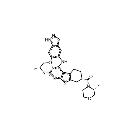 C[C@@H]1COCCN1C(=O)[C@H]1CCc2c(sc3ncnc(Nc4cc5cn[nH]c5cc4OC[C@@H](C)N)c23)C1